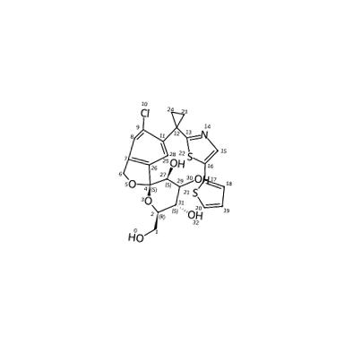 OC[C@H]1O[C@]2(OCc3cc(Cl)c(C4(c5ncc(-c6cccs6)s5)CC4)cc32)[C@@H](O)C(O)[C@@H]1O